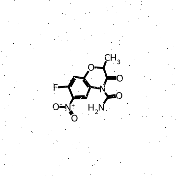 CC1Oc2cc(F)c([N+](=O)[O-])cc2N(C(N)=O)C1=O